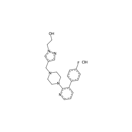 Cl.OCCn1cc(CN2CCN(c3ncccc3-c3ccc(F)cc3)CC2)cn1